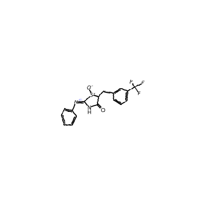 O=C1N/C(=N\c2ccccc2)[S+]([O-])C1Cc1cccc(C(F)(F)F)c1